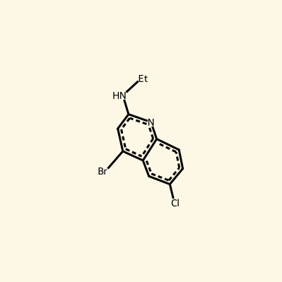 CCNc1cc(Br)c2cc(Cl)ccc2n1